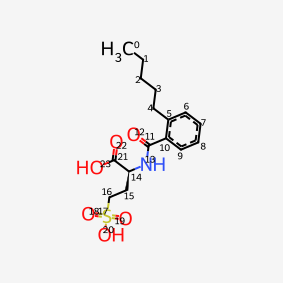 CCCCCc1ccccc1C(=O)N[C@@H](CCS(=O)(=O)O)C(=O)O